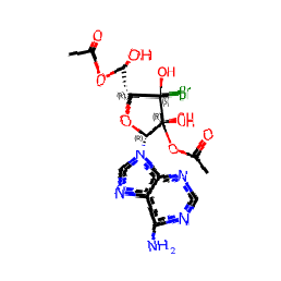 CC(=O)OC(O)[C@H]1O[C@@H](n2cnc3c(N)ncnc32)[C@@](O)(OC(C)=O)[C@@]1(O)Br